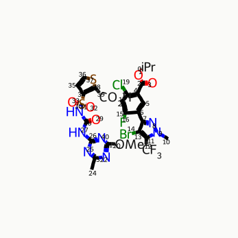 CC(C)OC(=O)c1cc(-c2nn(C)c(C(F)(F)F)c2Br)c(F)cc1Cl.COc1nc(C)nc(NC(=O)NS(=O)(=O)c2ccsc2C(=O)O)n1